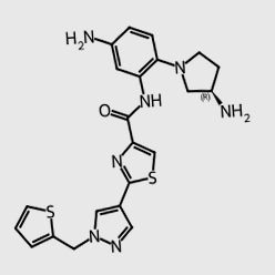 Nc1ccc(N2CC[C@@H](N)C2)c(NC(=O)c2csc(-c3cnn(Cc4cccs4)c3)n2)c1